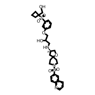 O=S(=O)(c1ccc2ncccc2c1)N1CCC2(CC1)C[C@@H](NCC(O)COc1cccc(S(=O)(=O)C3(CO)CCC3)c1)CO2